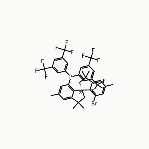 Cc1cc(Br)c2c(c1)C(C)(C)C[C@@]21CC(C)(C)c2cc(C)cc(P(c3cc(C(F)(F)F)cc(C(F)(F)F)c3)c3cc(C(F)(F)F)cc(C(F)(F)F)c3)c21